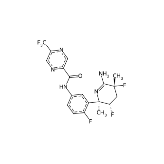 C[C@@]1(F)C[C@H](F)[C@@](C)(c2cc(NC(=O)c3cnc(C(F)(F)F)cn3)ccc2F)N=C1N